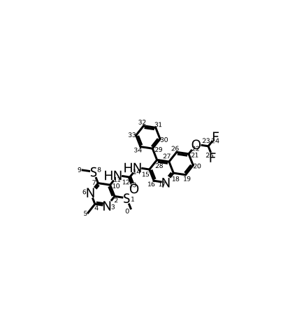 CSc1nc(C)nc(SC)c1NC(=O)Nc1cnc2ccc(OC(F)F)cc2c1-c1ccccc1